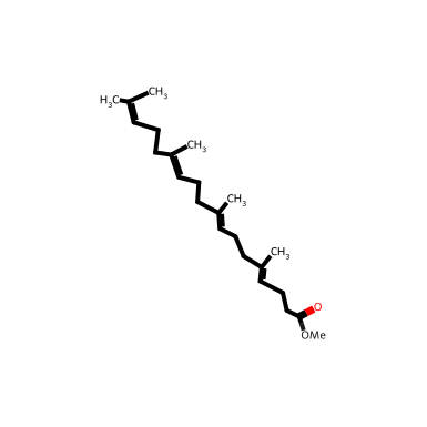 COC(=O)CC/C=C(\C)CC/C=C(\C)CC/C=C(\C)CCC=C(C)C